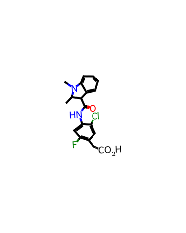 CC1C(C(=O)Nc2cc(F)c(CC(=O)O)cc2Cl)c2ccccc2N1C